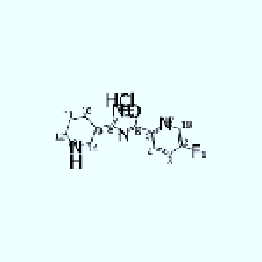 Cl.Fc1ccc(-c2nc(C3CCCNC3)no2)nc1